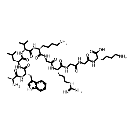 CC(C)C[C@H](NC(=O)[C@H](Cc1c[nH]c2ccccc12)NC(=O)[C@H](C)N)C(=O)N[C@H](C(=O)N[C@@H](CCCCN)C(=O)NCC(=O)N[C@@H](CCCNC(=N)N)C(=O)NCC(=O)NCC(=O)N[C@@H](CCCCN)C(=O)O)C(C)C